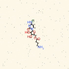 NCCCC(=O)OCC1OC(n2ccc(NCl)nc2=O)C(O)C1O